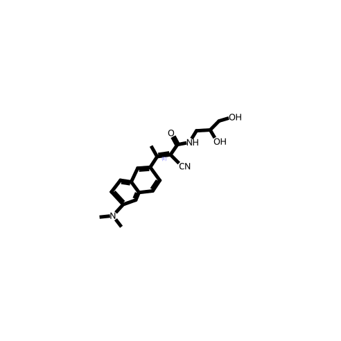 C/C(=C(/C#N)C(=O)NCC(O)CO)c1ccc2cc(N(C)C)ccc2c1